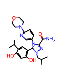 CC(C)CN1N=C(C(N)=O)N(c2ccc(N3CCOCC3)nc2)C1c1cc(C(C)C)c(O)cc1O